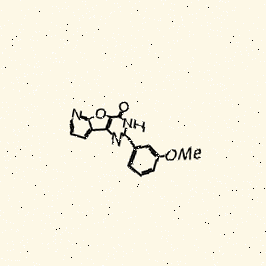 COc1cccc(-c2nc3c(oc4ncccc43)c(=O)[nH]2)c1